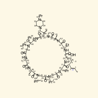 C/C=C/C[C@@H](C)[C@@H](O)[C@H]1C(=O)N[C@@H](CC)C(=O)N(C)[C@H](C)C(=O)N(C)[C@@H]([C@H](C)CN2CCN(C(C)C)CC2)C(=O)N[C@@H](C(C)C)C(=O)N(C)[C@@H](CC(C)C)C(=O)N[C@@H](C)C(=O)N[C@H](C)C(=O)N(C)[C@@H](CC(C)C)C(=O)N(C)[C@@H](CC(C)C)C(=O)N(C)[C@@H](C(C)C)C(=O)N1C